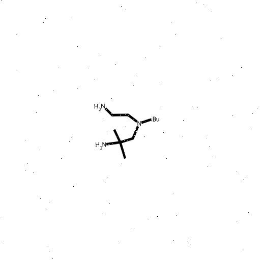 CCC(C)N(CCN)CC(C)(C)N